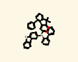 CC1(C)c2ccc(N(c3ccc4sc5ccccc5c4c3)c3ccccc3-c3ccccc3)cc2-c2c(-c3ccccc3)cccc21